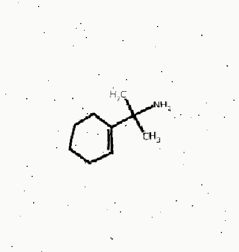 CC(C)(N)C1=CCCCC1